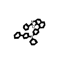 c1ccc(-c2ccc(N(c3ccccc3)c3ccc(-c4cccc5ccc6nc(-c7ccccc7)oc6c45)cc3)cc2)cc1